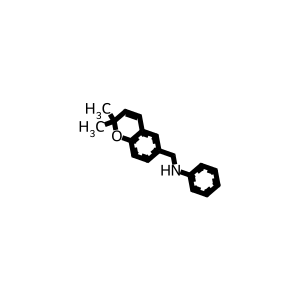 CC1(C)C=Cc2cc(CNc3ccccc3)ccc2O1